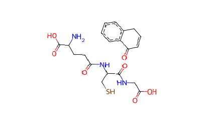 NC(CCC(=O)NC(CS)C(=O)NCC(=O)O)C(=O)O.O=C1C=CCc2ccccc21